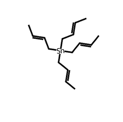 CC=C[CH2][Sn]([CH2]C=CC)([CH2]C=CC)[CH2]C=CC